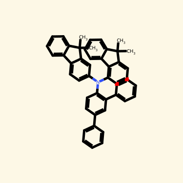 CC1(C)c2ccccc2-c2ccc(N(c3ccc(-c4ccccc4)cc3-c3ccccc3)c3cccc4c3-c3ccccc3C4(C)C)cc21